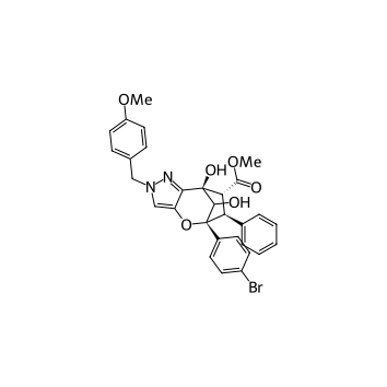 COC(=O)[C@@H]1[C@@H](c2ccccc2)[C@]2(c3ccc(Br)cc3)Oc3cn(Cc4ccc(OC)cc4)nc3[C@@]1(O)C2O